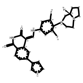 O=C1NC(=O)c2ccc(-c3ccsc3)cc2/C1=C/Nc1cc(F)c(N2CCN3CCC[C@H]3C2)c(F)c1